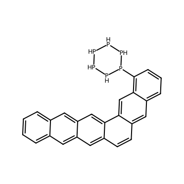 c1ccc2cc3cc4c(ccc5cc6cccc(P7PPPPP7)c6cc54)cc3cc2c1